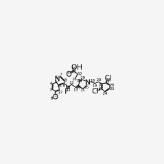 COc1ccc2nccc([C@H](F)CC[C@@H]3CCN(CCCc4c(Cl)cccc4Cl)C[C@H]3CCC(=O)O)c2c1